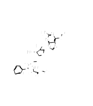 CCOc1nc(N)nc2c1ncn2[C@@H]1O[C@H](CO[P@@](=O)(N[C@H](C)C(=O)OC(C)C)Oc2ccccc2)[C@@H](O)[C@@]1(F)Cl